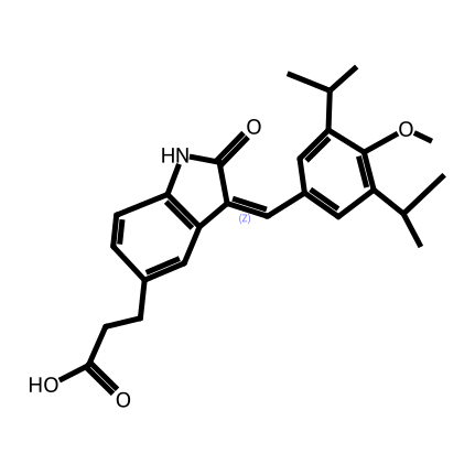 COc1c(C(C)C)cc(/C=C2\C(=O)Nc3ccc(CCC(=O)O)cc32)cc1C(C)C